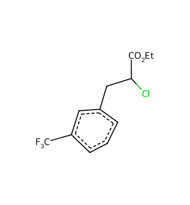 CCOC(=O)C(Cl)Cc1cccc(C(F)(F)F)c1